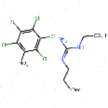 CCCCCCCCCCCCN=C(N)NCC(=O)O.O=[N+]([O-])c1c(Cl)c(Cl)c(Cl)c(Cl)c1Cl